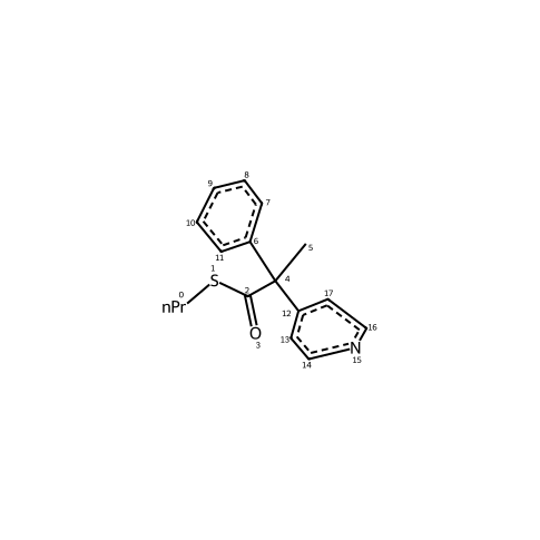 CCCSC(=O)C(C)(c1ccccc1)c1ccncc1